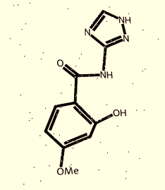 COc1ccc(C(=O)Nc2nc[nH]n2)c(O)c1